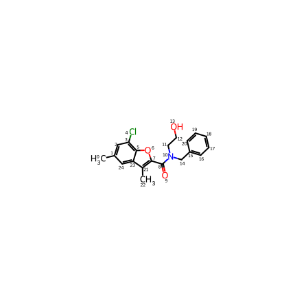 Cc1cc(Cl)c2oc(C(=O)N(CCO)Cc3ccccc3)c(C)c2c1